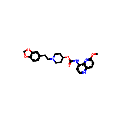 COc1ccc2nccc(NC(=O)OC3CCN(CCc4ccc5c(c4)OCO5)CC3)c2n1